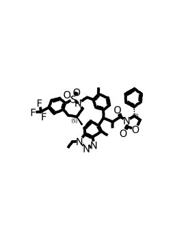 CCn1nnc2c(C)c(C(c3ccc(C)c(CN4C[C@@H](C)Cc5cc(C(F)(F)F)ccc5S4(=O)=O)c3)C(C)C(=O)N3C(=O)OC[C@H]3c3ccccc3)ccc21